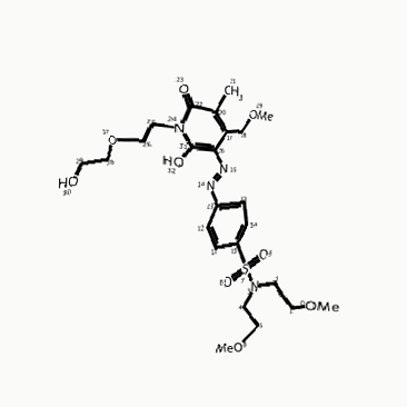 COCCN(CCOC)S(=O)(=O)c1ccc(/N=N/c2c(COC)c(C)c(=O)n(CCOCCO)c2O)cc1